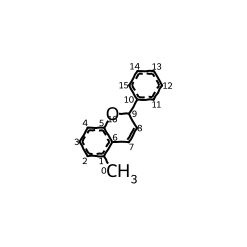 Cc1cccc2c1C=CC(c1ccccc1)O2